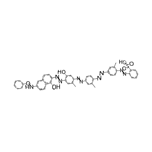 Cc1cc(N=Nc2cc(O)c(N=Nc3ccc4cc(NOc5ccccc5)ccc4c3O)cc2C)ccc1N=Nc1ccc(N=Nc2ccccc2S(=O)(=O)O)c(C)c1